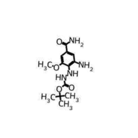 COc1cc(C(N)=O)cc(N)c1NNC(=O)OC(C)(C)C